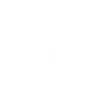 c1ccc2c(N(c3cccc4ccccc34)c3cc4ccccc4c4ccccc34)cccc2c1